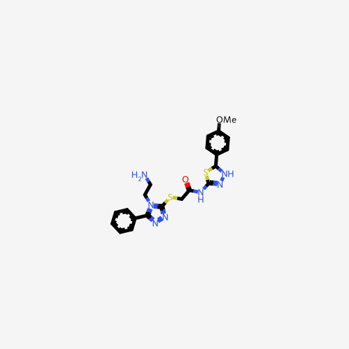 COc1ccc(C2NN=C(NC(=O)CSc3nnc(-c4ccccc4)n3CCN)S2)cc1